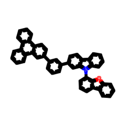 c1cc(-c2ccc3c4ccccc4c4ccccc4c3c2)cc(-c2ccc3c4ccccc4n(-c4cccc5c4oc4ccccc45)c3c2)c1